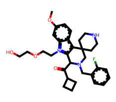 COc1ccc2c3c(n(CCOCCO)c2c1)C(C(=O)C1CCC1)N(Cc1ccccc1F)CC31CCNCC1